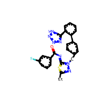 CCc1nn(Cc2ccc(-c3ccccc3-c3nnn[nH]3)cc2)c(=NC(=O)c2cccc(F)c2)s1